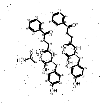 CC(N)N.O=C(CCC(=O)c1ccccc1)N[C@@H](Cc1ccc(O)cc1)C(=O)O.O=C(CCC(=O)c1ccccc1)N[C@@H](Cc1ccc(O)cc1)C(=O)O